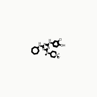 CN(c1nc(Nc2ccc(O)c(Cl)c2)nc(NC2CCCCCC2)n1)C1CC[N+](C)([O-])CC1